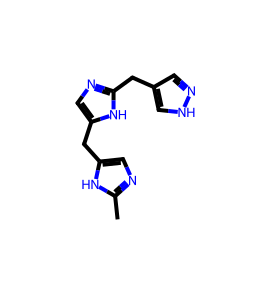 Cc1ncc(Cc2cnc(Cc3cn[nH]c3)[nH]2)[nH]1